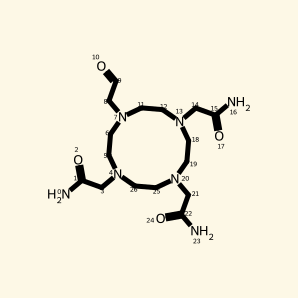 NC(=O)CN1CCN(CC=O)CCN(CC(N)=O)CCN(CC(N)=O)CC1